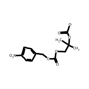 CC(C)(COC(=O)OCc1ccc([N+](=O)[O-])cc1)OC([O])=O